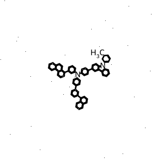 CC1C=CC=C(n2c3ccccc3c3cc(-c4ccc(N(c5ccc(-c6cccc(-c7cccc8ccccc78)c6)cc5)c5cccc(-c6cccc7c6ccc6ccccc67)c5)cc4)ccc32)C1